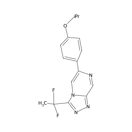 CC(C)Oc1ccc(-c2cn3c(C(C)(F)F)nnc3cn2)cc1